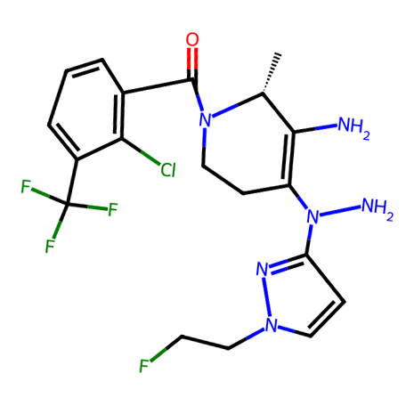 C[C@@H]1C(N)=C(N(N)c2ccn(CCF)n2)CCN1C(=O)c1cccc(C(F)(F)F)c1Cl